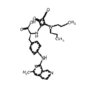 CCCN(CCC)c1c(N[C@@H](Cc2ccc(Nc3nc(C)cc4ccncc34)cc2)C(=O)O)c(=O)c1=O